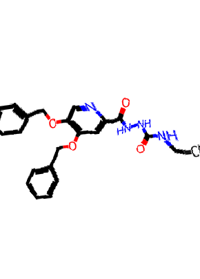 N#CCNC(=O)NNC(=O)c1cc(OCc2ccccc2)c(OCc2ccccc2)cn1